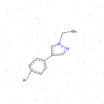 CC(C)(C)Cn1cc(-c2ccc(Br)cc2)cn1